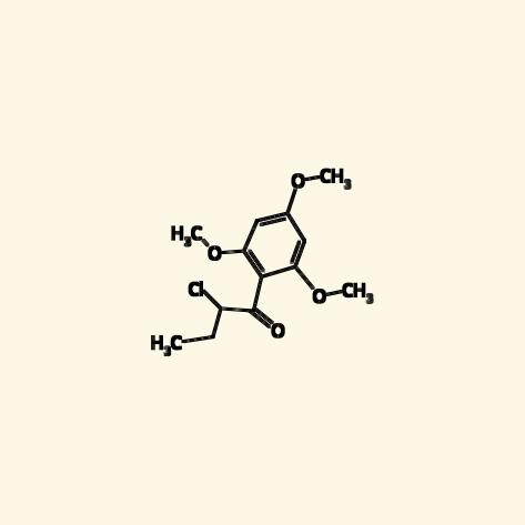 CCC(Cl)C(=O)c1c(OC)cc(OC)cc1OC